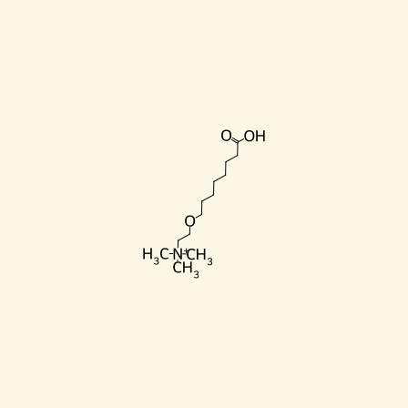 C[N+](C)(C)CCOCCCCCCCC(=O)O